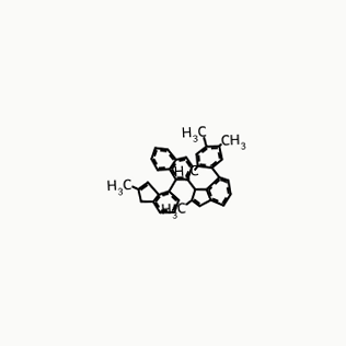 CC1=Cc2c(cccc2-c2c(C3C(C)=Cc4cccc(-c5cc(C)c(C)cc5C)c43)ccc3ccccc23)C1